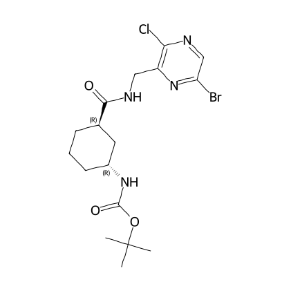 CC(C)(C)OC(=O)N[C@@H]1CCC[C@@H](C(=O)NCc2nc(Br)cnc2Cl)C1